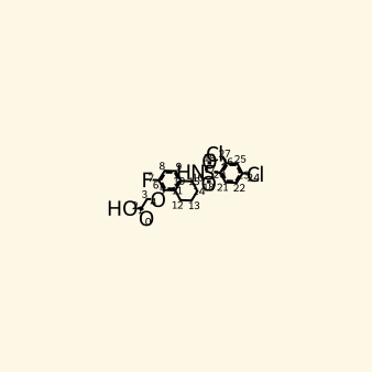 O=C(O)COc1c(F)ccc2c1CCCC2NS(=O)(=O)c1ccc(Cl)cc1Cl